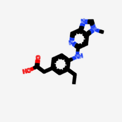 CCc1cc(CC(=O)O)ccc1Nc1cc2c(cn1)ncn2C